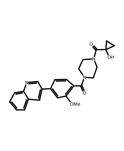 COc1cc(-c2cnc3ccccc3c2)ccc1C(=O)N1CCN(C(=O)C2(O)CC2)CC1